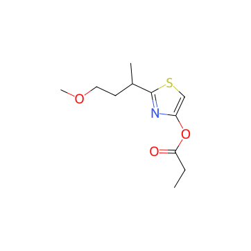 CCC(=O)Oc1csc(C(C)CCOC)n1